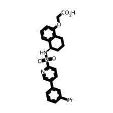 CC(C)c1cccc(-c2ccc(S(=O)(=O)N[C@@H]3CCCc4c(OCC(=O)O)cccc43)nc2)c1